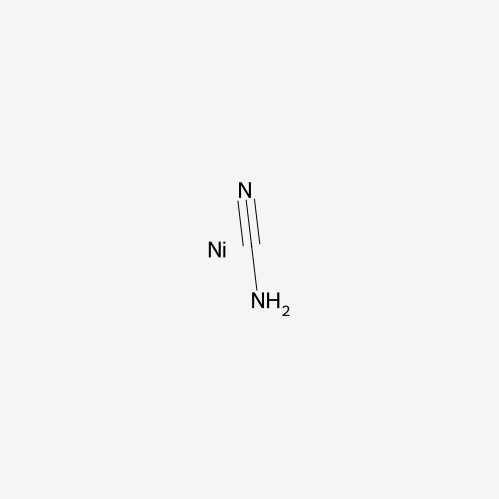 N#CN.[Ni]